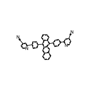 N#Cc1ccnc(-c2ccc(-c3c4ccccc4c(-c4ccc(-c5cc(C#N)ccn5)cc4)c4cc5ccccc5cc34)cc2)c1